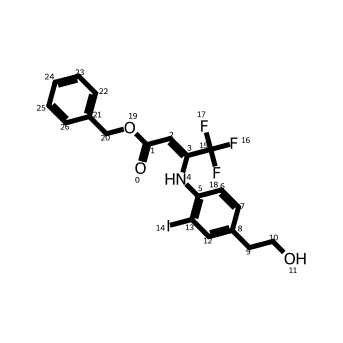 O=C(/C=C(\Nc1ccc(CCO)cc1I)C(F)(F)F)OCc1ccccc1